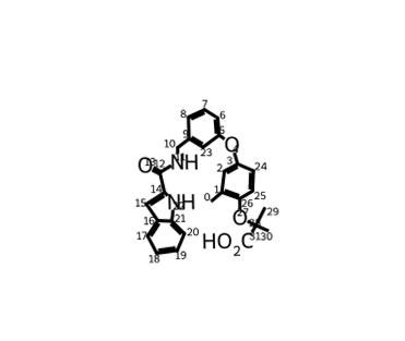 Cc1cc(Oc2cccc(CNC(=O)c3cc4ccccc4[nH]3)c2)ccc1OC(C)(C)C(=O)O